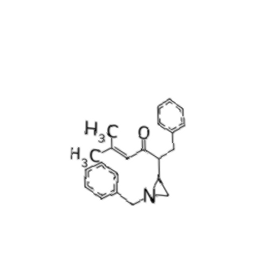 CC(C)=CC(=O)C(Cc1ccccc1)C1CN1Cc1ccccc1